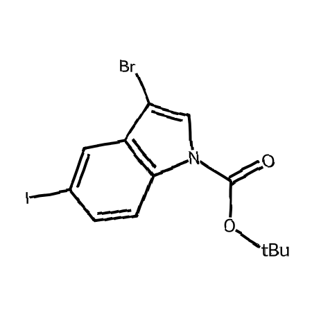 CC(C)(C)OC(=O)n1cc(Br)c2cc(I)ccc21